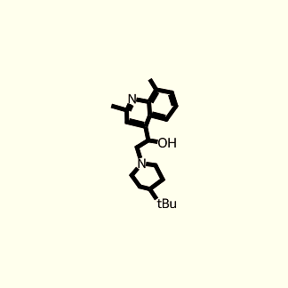 Cc1cc(C(O)CN2CCC(C(C)(C)C)CC2)c2cccc(C)c2n1